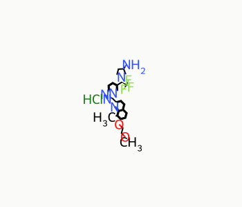 COCCOc1ccc2ccc(-c3nnc4ccc([C@@H](N5CCC(N)C5)C(F)(F)F)cn34)nc2c1C.Cl